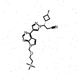 C[Si](C)(C)CCOCn1ccc2c(-c3cnn(C(CC#N)[C@H]4C[C@H](C)C4)c3)ncnc21